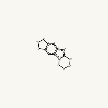 c1c2c(cc3c1nc1n3CCOC1)CCC2